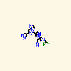 Cn1cc(-c2cc3nccn3c(-c3cnn(C4(CC#N)CN(CC(F)F)C4)c3)n2)cn1